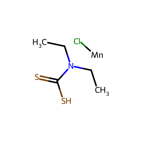 CCN(CC)C(=S)S.[Cl][Mn]